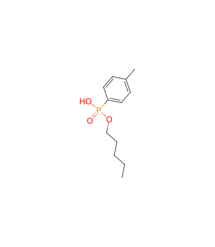 CCCCCOP(=O)(O)c1ccc(C)cc1